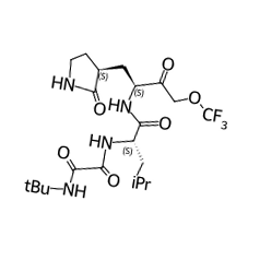 CC(C)C[C@H](NC(=O)C(=O)NC(C)(C)C)C(=O)N[C@@H](C[C@@H]1CCNC1=O)C(=O)COC(F)(F)F